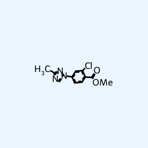 COC(=O)c1ccc(-n2cnc(C)n2)cc1Cl